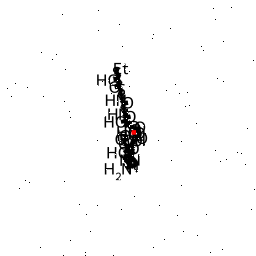 CCSCC(O)CC(=O)SCCNC(=O)CCNC(=O)C(O)C(C)(C)COP(=O)(O)OP(=O)(O)OCC1OC(C)(n2cnc3c(N)ncnc32)C(O)C1OP(=O)(O)O